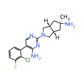 C[C@@]1(N)C[C@H]2CN(c3ncc(-c4cccc(F)c4Cl)c(N)n3)C[C@H]2C1